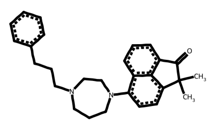 CC1(C)C(=O)c2cccc3c(N4CCCN(CCCc5ccccc5)CC4)ccc1c23